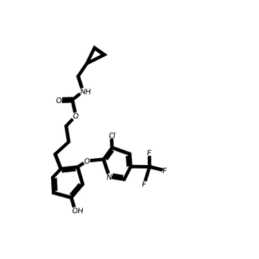 O=C(NCC1CC1)OCCCc1ccc(O)cc1Oc1ncc(C(F)(F)F)cc1Cl